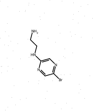 NCCNc1cnc(Br)cn1